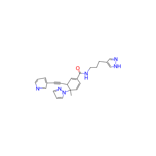 CC1(n2cccn2)C=CC(C(=O)NCCCc2cn[nH]c2)=CC1C#Cc1cccnc1